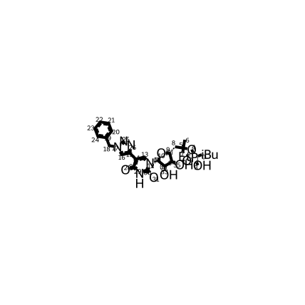 CCC(C)P(=O)(O)OC(C)(CC)C[C@H]1O[C@@H](n2cc(-c3cn(Cc4ccccc4)nn3)c(=O)[nH]c2=O)[C@@H](O)C1O